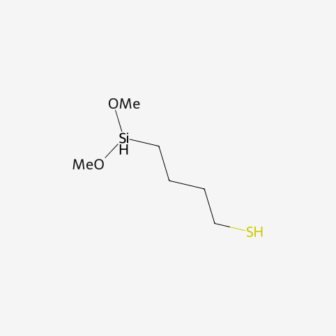 CO[SiH](CCCCS)OC